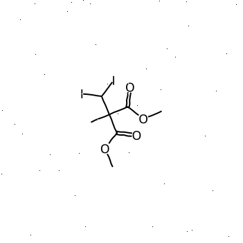 COC(=O)C(C)(C(=O)OC)C(I)I